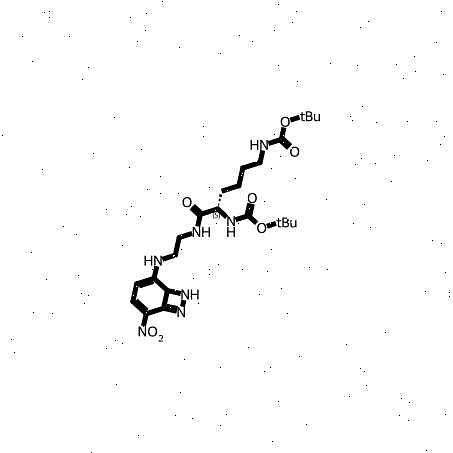 CC(C)(C)OC(=O)NCCCC[C@H](NC(=O)OC(C)(C)C)C(=O)NCCNC1=CC=C([N+](=O)[O-])C2=NNC12